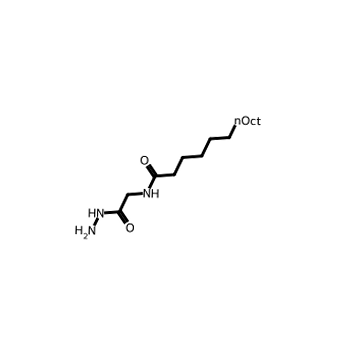 CCCCCCCCCCCCCC(=O)NCC(=O)NN